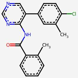 Cc1cc(-c2cncnc2NC(=O)c2ccccc2C)ccc1Cl